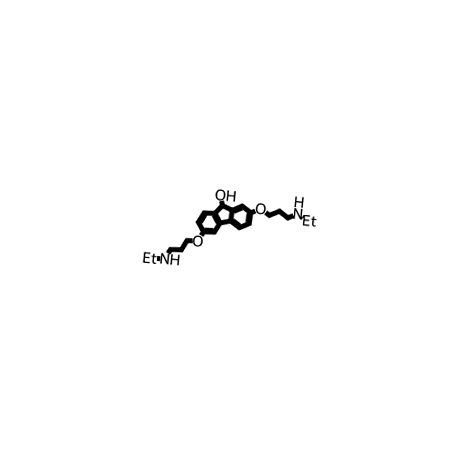 CCNCCCOc1ccc2c(c1)-c1ccc(OCCCNCC)cc1C2O